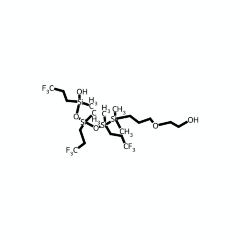 C[Si](O)(CCC(F)(F)F)O[Si](C)(CCC(F)(F)F)O[Si](C)(CCC(F)(F)F)[Si](C)(C)CCCOCCO